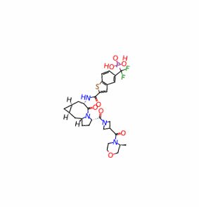 C[C@H]1COCCN1C(=O)C1CN(C(=O)[C@@H]2CC[C@@H]3C[C@H]4C[C@H]4C[C@H](NC(=O)c4cc5cc(C(F)(F)P(=O)(O)O)ccc5s4)C(=O)N32)C1